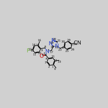 Cc1ccc(C(=O)N(Cc2ccc(F)cc2C)Cc2nncn2Cc2ccc(C#N)cc2)cc1C